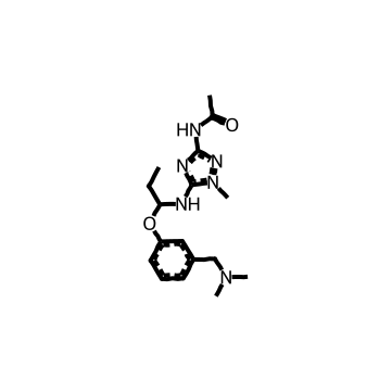 CCC(Nc1nc(NC(C)=O)nn1C)Oc1cccc(CN(C)C)c1